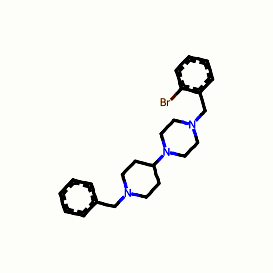 Brc1ccccc1CN1CCN(C2CCN(Cc3ccccc3)CC2)CC1